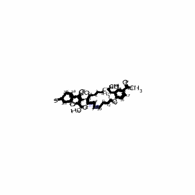 CCCC[C@@H](O)[C@@H](/C=C/C=C\CCCOc1ccc(C(C)=O)c(O)c1CCC)c1c(C(=O)O)oc2c(c1=O)=CCC(=S)C=2